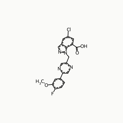 COc1cc(-c2cnc(Cn3ncc4cc(Cl)cc(C(=O)O)c43)cn2)ccc1F